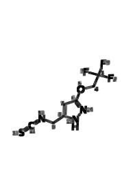 FC(F)(F)COc1cc(CN=C=S)[nH]n1